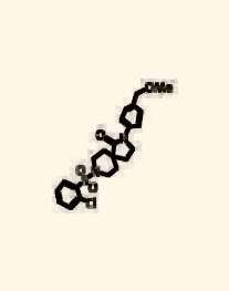 COCc1ccc(N2CCC3(CCN(S(=O)(=O)c4ccccc4Cl)CC3)C2=O)cc1